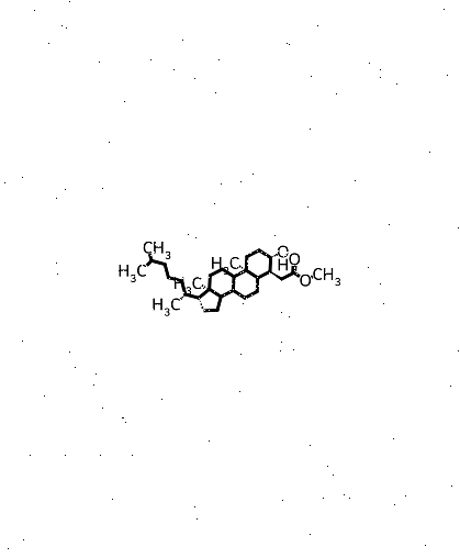 COC(=O)C[C@H]1C2CCC3C(CC[C@@]4(C)C3CC[C@@H]4[C@H](C)CCCC(C)C)[C@@]2(C)CC[C@@H]1O